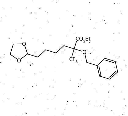 CCOC(=O)C(CCCCC1OCCO1)(OCc1ccccc1)C(F)(F)F